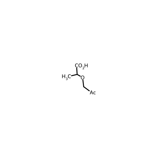 CC(=O)COC(C)C(=O)O